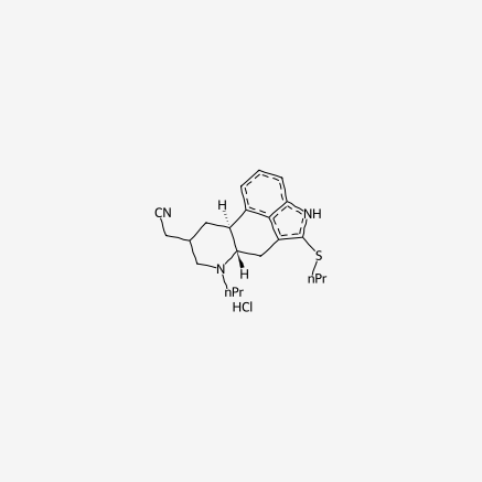 CCCSc1[nH]c2cccc3c2c1C[C@H]1[C@H]3CC(CC#N)CN1CCC.Cl